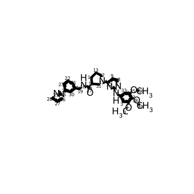 COc1cc(Nc2nccc(N3CCC[C@H](C(=O)NCc4cccc(-n5cccn5)c4)C3)n2)cc(OC)c1OC